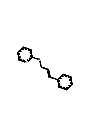 C(=Cc1ccccc1)CSc1ccccn1